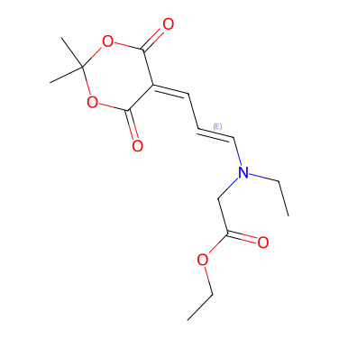 CCOC(=O)CN(/C=C/C=C1C(=O)OC(C)(C)OC1=O)CC